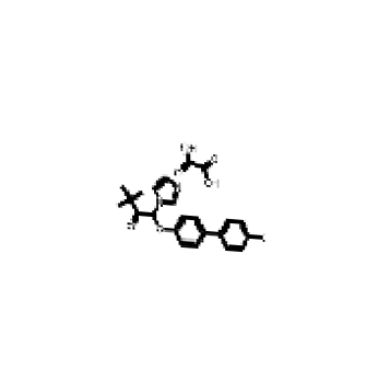 CC(C)(C)C(=O)C(Oc1ccc(-c2ccc(Cl)cc2)cc1)n1ccnc1.O=C(O)C(=O)O